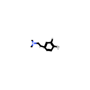 CCc1ccc(CCN(C)C)cc1C